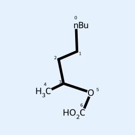 CCCCCCC(C)OC(=O)O